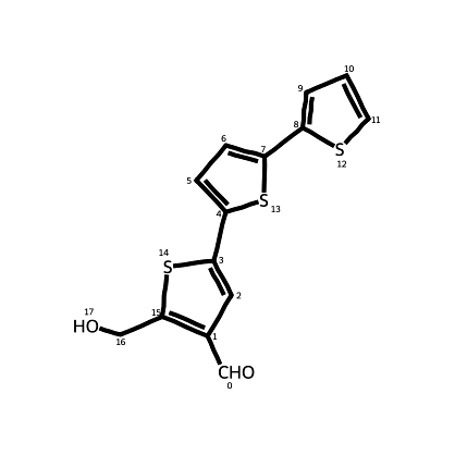 O=Cc1cc(-c2ccc(-c3cccs3)s2)sc1CO